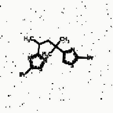 CC(C)c1nc(C(C)(C)CC(C)c2nsc(C(C)C)n2)cs1